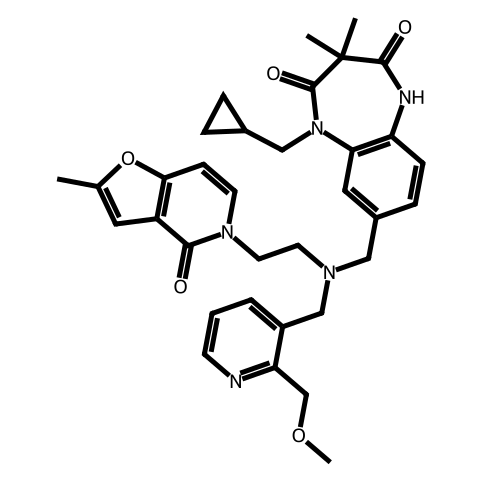 COCc1ncccc1CN(CCn1ccc2oc(C)cc2c1=O)Cc1ccc2c(c1)N(CC1CC1)C(=O)C(C)(C)C(=O)N2